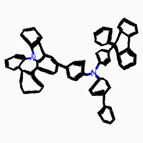 c1ccc(-c2ccc(N(c3ccc(-c4cc5c6c(c4)c4ccccc4n6-c4ccccc4-c4ccccc4-5)cc3)c3ccc(C4(c5ccccc5)c5ccccc5-c5ccccc54)cc3)cc2)cc1